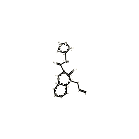 C=CCn1c(=O)c(C(=O)Nc2nnn[nH]2)nc2ccccc21